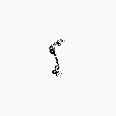 CCCCC(=O)OCOC1=Nc2cc(OCCCCN3CCN(c4cccc(Cl)c4Cl)CC3)ccc2CC1